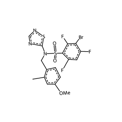 COc1ccc(CN(c2ncns2)S(=O)(=O)c2c(F)cc(F)c(Br)c2F)c(C)c1